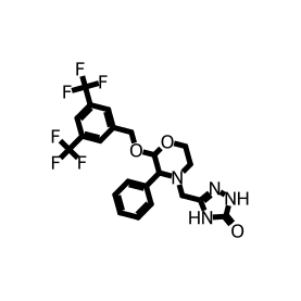 O=c1[nH]nc(CN2CCOC(OCc3cc(C(F)(F)F)cc(C(F)(F)F)c3)C2c2ccccc2)[nH]1